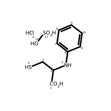 Cl.O=C(O)C(CS)Nc1ccccc1.O=S(=O)(O)O